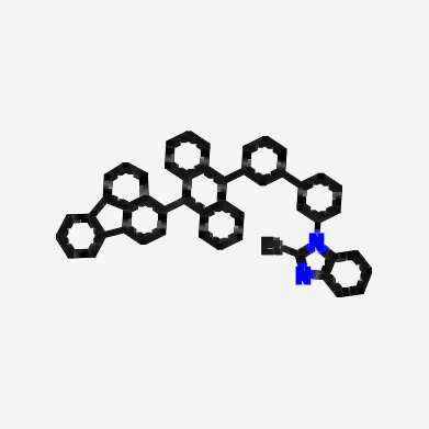 CCc1nc2ccccc2n1-c1cccc(-c2cccc(-c3c4ccccc4c(-c4ccc5c6c(cccc46)-c4ccccc4-5)c4ccccc34)c2)c1